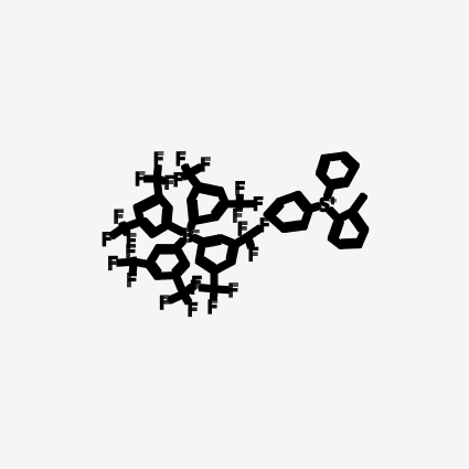 Cc1ccccc1[S+](c1ccccc1)c1ccccc1.FC(F)(F)c1cc([B-](c2cc(C(F)(F)F)cc(C(F)(F)F)c2)(c2cc(C(F)(F)F)cc(C(F)(F)F)c2)c2cc(C(F)(F)F)cc(C(F)(F)F)c2)cc(C(F)(F)F)c1